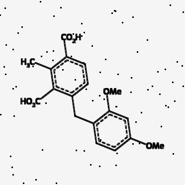 COc1ccc(Cc2ccc(C(=O)O)c(C)c2C(=O)O)c(OC)c1